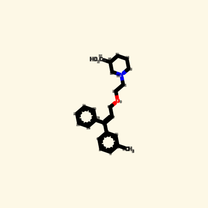 Cc1cccc(C(=CCOCCN2CCCC(C(=O)O)C2)c2ccccc2)c1